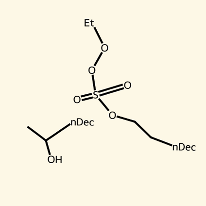 CCCCCCCCCCC(C)O.CCCCCCCCCCCCOS(=O)(=O)OOCC